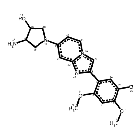 COc1cc(OC)c(-c2cn3ccc(N4CC(N)C(O)C4)cc3n2)cc1Cl